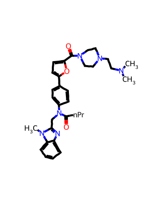 CCCC(=O)N(Cc1nc2ccccc2n1C)c1ccc(-c2ccc(C(=O)N3CCN(CCN(C)C)CC3)o2)cc1